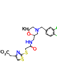 O=C(O)Cc1csc(SCC(=O)NCC2CN(Cc3ccc(Cl)c(Cl)c3)CCO2)n1.[KH]